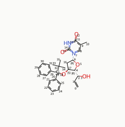 C=CC(O)[C@H]1O[C@@H](n2cc(C)c(=O)[nH]c2=O)C[C@@H]1O[Si](c1ccccc1)(c1ccccc1)C(C)(C)C